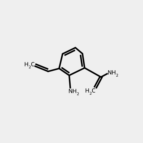 C=Cc1cccc(C(=C)N)c1N